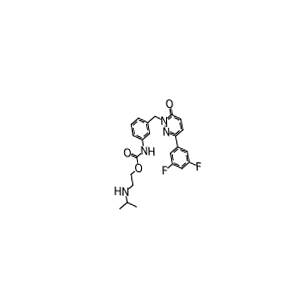 CC(C)NCCOC(=O)Nc1cccc(Cn2nc(-c3cc(F)cc(F)c3)ccc2=O)c1